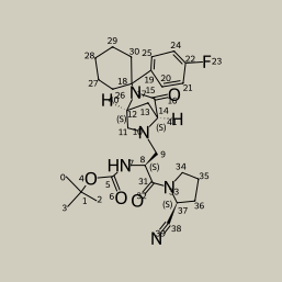 CC(C)(C)OC(=O)N[C@@H](CN1C[C@@H]2C[C@H]1C(=O)N2C1(c2ccc(F)cc2)CCCCC1)C(=O)N1CCC[C@H]1C#N